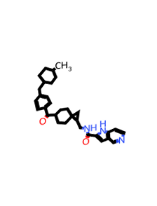 CC1CCC(Cc2ccc(C(=O)C3CCC4(CC3)CC4CNC(=O)c3cc4cnccc4[nH]3)cc2)CC1